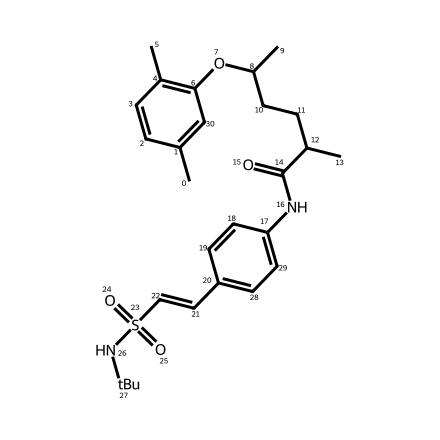 Cc1ccc(C)c(OC(C)CCC(C)C(=O)Nc2ccc(C=CS(=O)(=O)NC(C)(C)C)cc2)c1